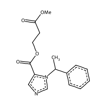 COC(=O)CCOC(=O)c1cncn1C(C)c1ccccc1